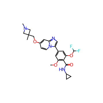 COc1cc(-c2cnc3cc(OCC4(C)CN(C)C4)ccn23)cc(OC(F)F)c1C(=O)NC1CC1